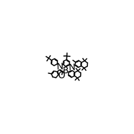 CC1=Cc2c(oc3c2N(C2C=CC(C(C)(C)C)=CC2)c2cc(C(C)(C)C)cc4c2B3c2ccc3c(c2N4c2cc4c(cc2C)C(C)(C)CCC4(C)C)C(C)(C)CCC3(C)C)CC1